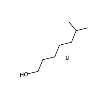 CC(C)CCCCCO.[U]